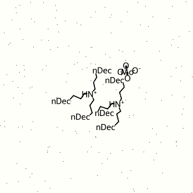 CCCCCCCCCCCCC[NH+](CCCCCCCCCCCCC)CCCCCCCCCCCCC.CCCCCCCCCCCCC[NH+](CCCCCCCCCCCCC)CCCCCCCCCCCCC.[O]=[Mo](=[O])([O-])[O-]